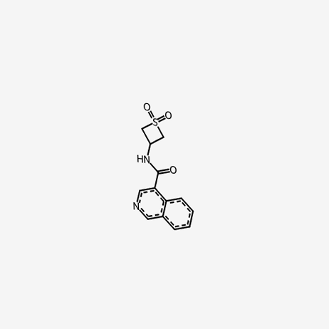 O=C(NC1CS(=O)(=O)C1)c1cncc2ccccc12